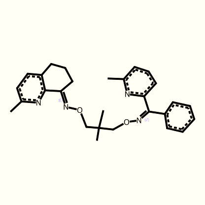 Cc1cccc(/C(=N\OCC(C)(C)CO/N=C2\CCCc3ccc(C)nc32)c2ccccc2)n1